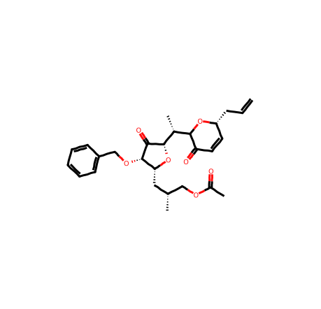 C=CC[C@@H]1C=CC(=O)C([C@@H](C)[C@@H]2O[C@H](C[C@@H](C)COC(C)=O)[C@H](OCc3ccccc3)C2=O)O1